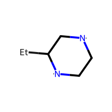 CCC1C[N]CC[N]1